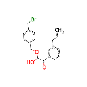 C=CCc1cccc(C(=O)C(O)OCc2ccc(CBr)cc2)c1